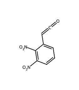 O=C=Cc1cccc([N+](=O)[O-])c1[N+](=O)[O-]